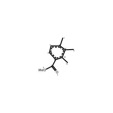 COC(=O)c1ccc(C)c(C)c1C